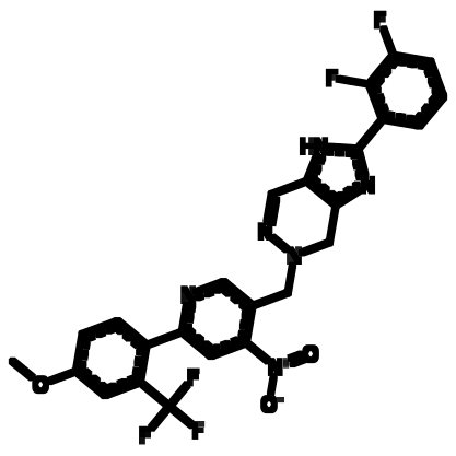 COc1ccc(-c2cc([N+](=O)[O-])c(CN3Cc4nc(-c5cccc(F)c5F)[nH]c4C=N3)cn2)c(C(F)(F)F)c1